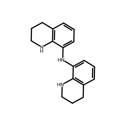 c1cc2c(c(Nc3cccc4c3NCCC4)c1)NCCC2